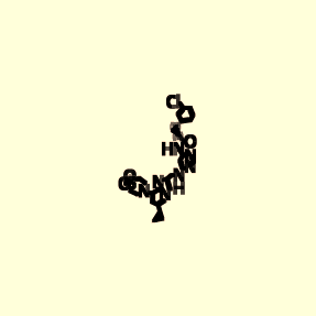 O=C(Nc1cc(NCc2cn3cc(C4CC4)cc(N4CCS(=O)(=O)CC4)c3n2)ncn1)[C@H]1C[C@@H]1c1cccc(Cl)c1